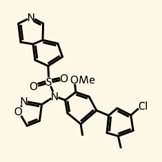 COc1cc(-c2cc(C)cc(Cl)c2)c(C)cc1N(c1ccon1)S(=O)(=O)c1ccc2cnccc2c1